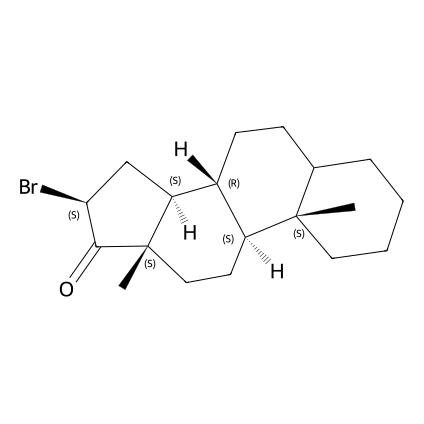 C[C@]12CCCCC1CC[C@@H]1[C@@H]2CC[C@]2(C)C(=O)[C@@H](Br)C[C@@H]12